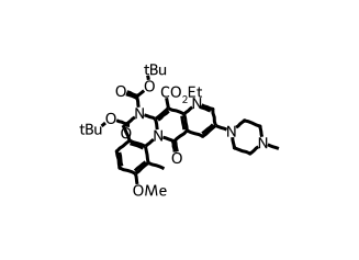 CCOC(=O)c1c(N(C(=O)OC(C)(C)C)C(=O)OC(C)(C)C)n(-c2c(C)ccc(OC)c2C)c(=O)c2cc(N3CCN(C)CC3)cnc12